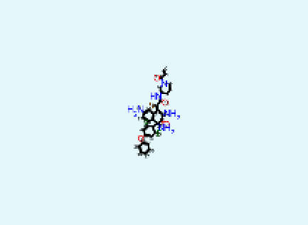 C=CC(=O)N1CCCC(NC(=O)c2sc3c(N)ccc4c3c2C(N)C(=O)C4(N)c2c(F)cc(Oc3ccccc3)cc2F)C1